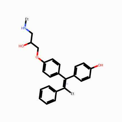 CCNCC(O)COc1ccc(/C(=C(/CC)c2ccccc2)c2ccc(O)cc2)cc1